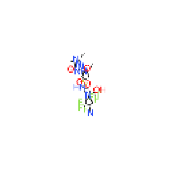 CCCc1nc(C)c2c(=O)[nH]c(-c3cc(S(=O)(=O)NC4C[C@H](C(O)C(F)(F)F)N(c5ccc(C#N)c(C(F)(F)F)c5)C4)ccc3OCC)nn12